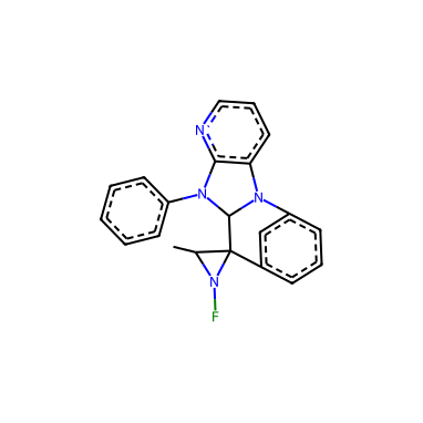 CC1N(F)C12c1cccc(c1)N1c3cccnc3N(c3ccccc3)C12